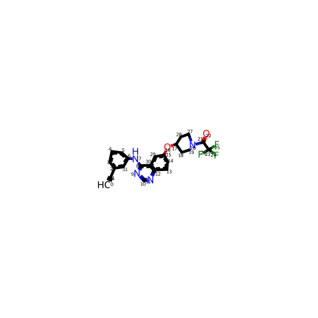 C#Cc1cccc(Nc2ncnc3ccc(OC4CCN(C(=O)C(F)(F)F)CC4)cc23)c1